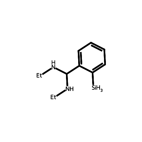 CCNC(NCC)c1ccccc1[SiH3]